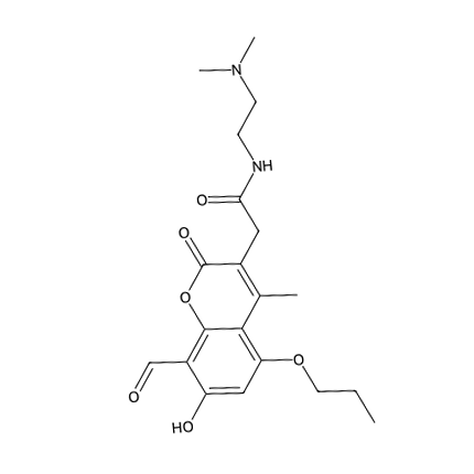 CCCOc1cc(O)c(C=O)c2oc(=O)c(CC(=O)NCCN(C)C)c(C)c12